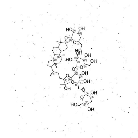 C[C@H](CC[C@@H](O[C@@H]1O[C@H](CO[C@H]2O[C@H](CO)[C@@H](O)C[C@H]2O)[C@@H](O)[C@H](O)[C@H]1O[C@@H]1O[C@H](CO)[C@@H](O)[C@H](O)[C@H]1O)C(C)(C)O)C1CC[C@@]2(C)C3CC=C4C(CC[C@H](O[C@@H]5O[C@H](CO)C[C@H](O)[C@H]5O)C4(C)C)[C@]3(C)CC[C@]12C